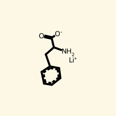 NC(Cc1ccccc1)C(=O)[O-].[Li+]